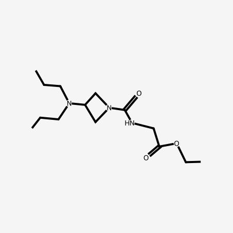 CCCN(CCC)C1CN(C(=O)NCC(=O)OCC)C1